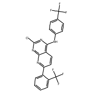 FC(F)(F)c1ccc(Nc2nc(Cl)nc3nc(-c4ccccc4C(F)(F)F)ccc23)cc1